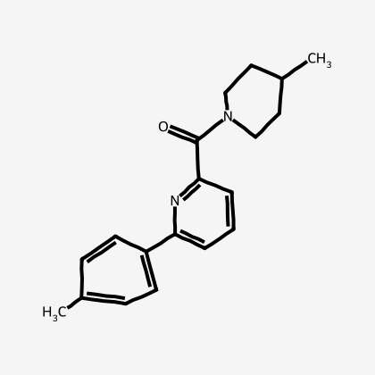 Cc1ccc(-c2cccc(C(=O)N3CCC(C)CC3)n2)cc1